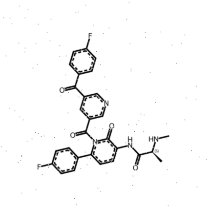 CN[C@@H](C)C(=O)Nc1ccc(-c2ccc(F)cc2)n(C(=O)c2cncc(C(=O)c3ccc(F)cc3)c2)c1=O